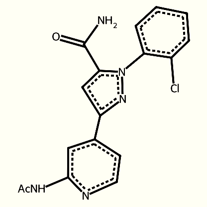 CC(=O)Nc1cc(-c2cc(C(N)=O)n(-c3ccccc3Cl)n2)ccn1